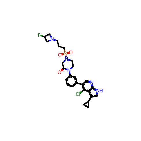 O=C1CN(S(=O)(=O)CCCN2CC(F)C2)CCN1c1cccc(-c2cnc3[nH]cc(C4CC4)c3c2Cl)c1